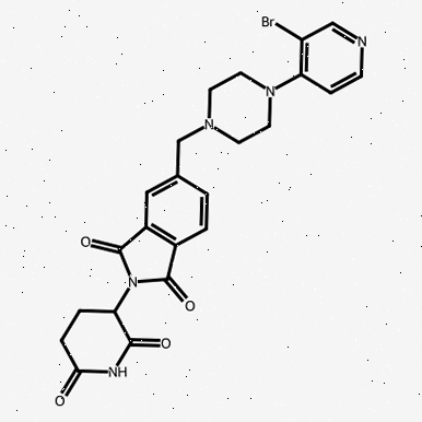 O=C1CCC(N2C(=O)c3ccc(CN4CCN(c5ccncc5Br)CC4)cc3C2=O)C(=O)N1